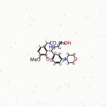 COc1ccc(CC(=O)O)cc1Oc1ccc(N2CCOCC2)cc1CNCCO